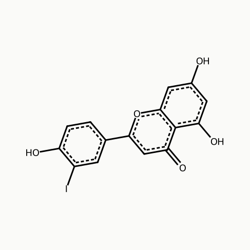 O=c1cc(-c2ccc(O)c(I)c2)oc2cc(O)cc(O)c12